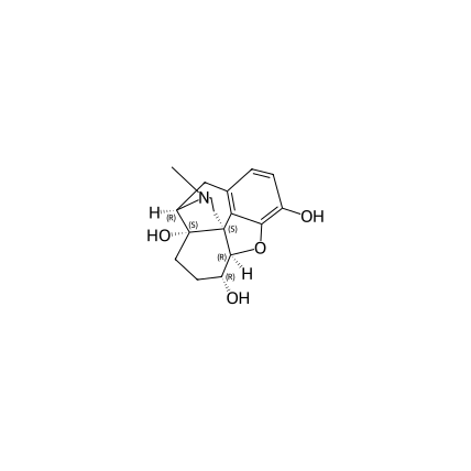 CN1CC[C@]23c4c5ccc(O)c4O[C@H]2[C@H](O)CC[C@@]3(O)[C@H]1C5